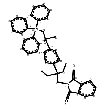 CCC(CC)(CN1C(=O)c2ccccc2C1=O)c1ccc(C(C)(C)C[PH](c2ccccc2)(c2ccccc2)c2ccccc2)cc1